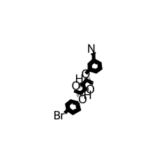 N#Cc1cccc(O[C@H]2CO[C@H]3[C@@H]2OC[C@H]3Oc2ccc(Br)cc2)c1